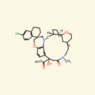 COC(=O)[C@@]1(O)CC(=O)N(C)CC[C@@H]2CCO[C@@H](C2)[C@@H]2CC[C@H]2CN2C[C@@]3(CCCc4cc(Cl)ccc43)COc3ccc1cc32